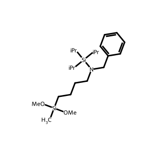 CO[Si](C)(CCCCN(Cc1ccccc1)[Si](C(C)C)(C(C)C)C(C)C)OC